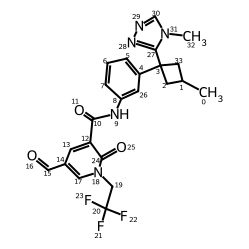 CC1CC(c2cccc(NC(=O)c3cc(C=O)cn(CC(F)(F)F)c3=O)c2)(c2nncn2C)C1